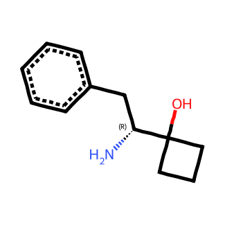 N[C@H](Cc1ccccc1)C1(O)CCC1